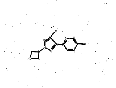 Fc1ccc(-c2nn(C3COC3)cc2Br)nc1